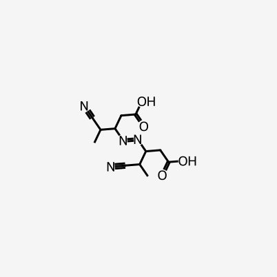 CC(C#N)C(CC(=O)O)N=NC(CC(=O)O)C(C)C#N